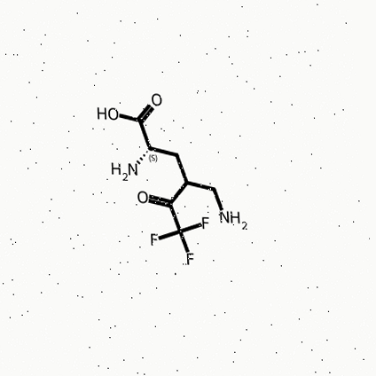 NCC(C[C@H](N)C(=O)O)C(=O)C(F)(F)F